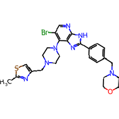 Cc1nc(CN2CCN(c3c(Br)cnc4[nH]c(-c5ccc(CN6CCOCC6)cc5)nc34)CC2)cs1